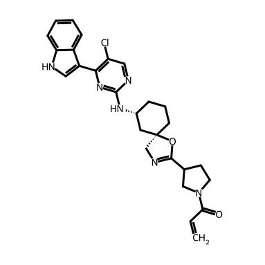 C=CC(=O)N1CCC(C2=NC[C@]3(CCC[C@@H](Nc4ncc(Cl)c(-c5c[nH]c6ccccc56)n4)C3)O2)C1